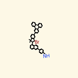 CC1(C)c2ccc(-c3ccc4c5ccccc5c5ccccc5c4c3)cc2C(Br)C1c1cccc2cc(-c3ccc(C=N)cc3)ccc12